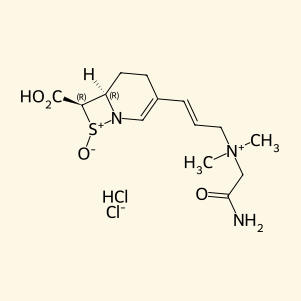 C[N+](C)(CC=CC1=CN2[C@H](CC1)[C@H](C(=O)O)[S+]2[O-])CC(N)=O.Cl.[Cl-]